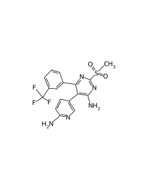 CS(=O)(=O)c1nc(N)c(-c2ccc(N)nc2)c(-c2cccc(C(F)(F)F)c2)n1